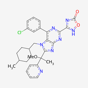 COC(C)(c1ccccn1)c1nc2nc(-c3nc(=O)o[nH]3)nc(-c3cccc(Cl)c3)c2n1CC1CCC(C)CC1